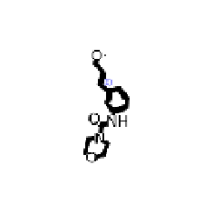 [O]C/C=C/c1cccc(NC(=O)N2CCOCC2)c1